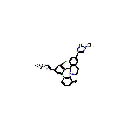 CCc1ccccc1N1CCc2cc(-c3cnn(C)c3)ccc2C1c1c(F)cc(/C=C/C(=O)O)cc1F